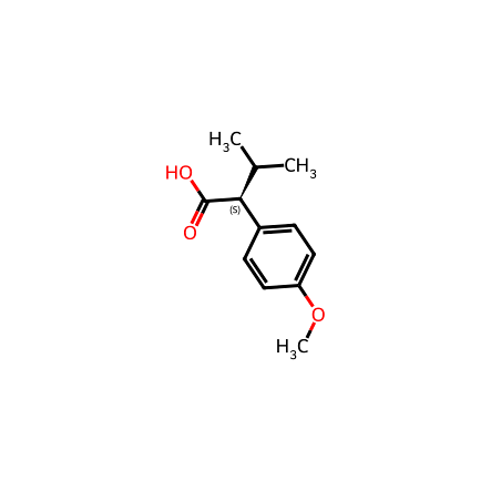 COc1ccc([C@@H](C(=O)O)C(C)C)cc1